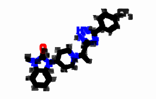 CC(c1n[nH]c(-c2ccc(C(F)(F)F)cc2)n1)N1CCC(n2c(=O)n(C)c3ccccc32)CC1